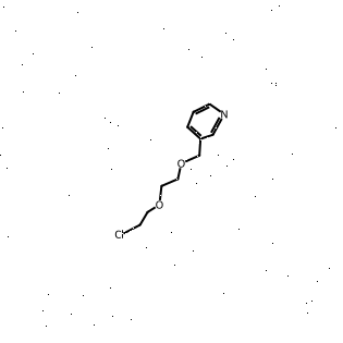 ClCCOCCOCc1cccnc1